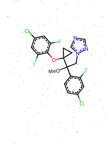 COC(Cn1cncn1)(c1ccc(Cl)cc1F)C1(Oc2c(F)cc(Cl)cc2F)CC1